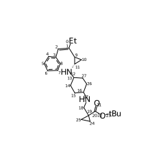 CCC(=Cc1ccccc1)C1C[C@@H]1NC1CCC(NCC2(C(=O)OC(C)(C)C)CC2)CC1